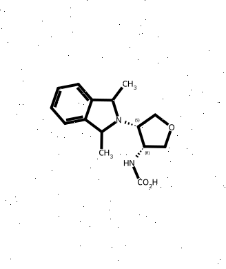 CC1c2ccccc2C(C)N1[C@@H]1COC[C@@H]1NC(=O)O